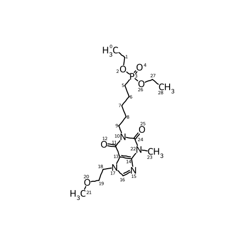 CCOP(=O)(CCCCCn1c(=O)c2c(ncn2CCOC)n(C)c1=O)OCC